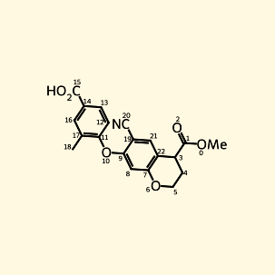 COC(=O)C1CCOc2cc(Oc3ccc(C(=O)O)cc3C)c(C#N)cc21